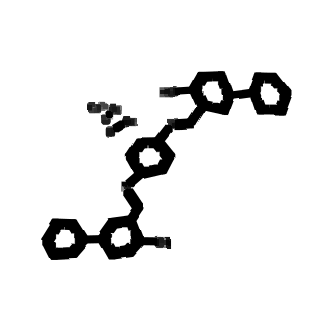 CC(=O)[O-].CC(=O)[O-].Oc1ccc(-c2ccccc2)cc1C=Nc1ccc(N=Cc2cc(-c3ccccc3)ccc2O)cc1.[Co+2]